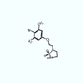 Cc1cc(OCCN2CCNS2(=O)=O)cc(C)c1Br